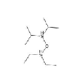 CC[SiH](CC)O[SiH](C(C)C)C(C)C